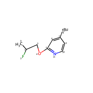 CC(F)COc1cc(C(C)(C)C)ccn1